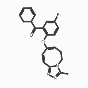 Cc1nnc2n1CC/C=C(Oc1ccc(Br)cc1C(=O)C1C=CC=CC1)\C=C/2